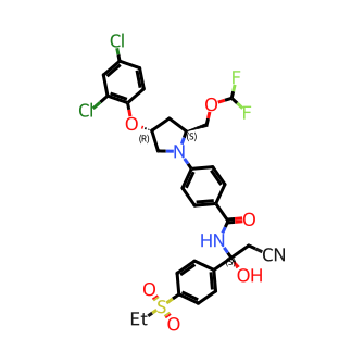 CCS(=O)(=O)c1ccc([C@@](O)(CC#N)NC(=O)c2ccc(N3C[C@H](Oc4ccc(Cl)cc4Cl)C[C@H]3COC(F)F)cc2)cc1